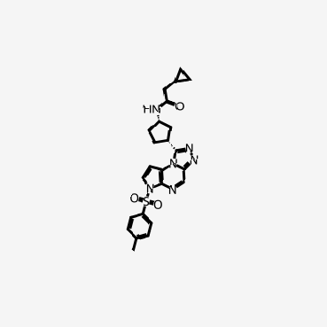 Cc1ccc(S(=O)(=O)n2ccc3c2ncc2nnc([C@@H]4CC[C@H](NC(=O)CC5CC5)C4)n23)cc1